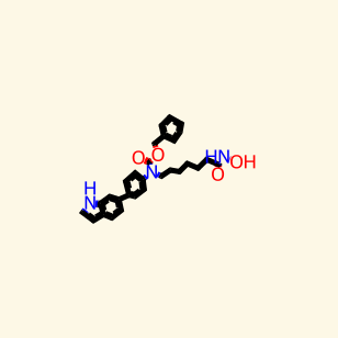 O=C(CCCCCCN(C(=O)OCc1ccccc1)c1ccc(-c2ccc3cc[nH]c3c2)cc1)NO